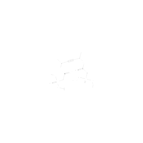 CCOP(=O)(CC(=O)OC(C)C#CC(C)OC(=O)CP(=O)(OCC)OCC)OCC